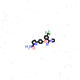 N#CC(c1cc(C(F)(F)F)ccc1Oc1ccc(-c2cccc(C(N)=O)n2)cc1)N1CCCC1